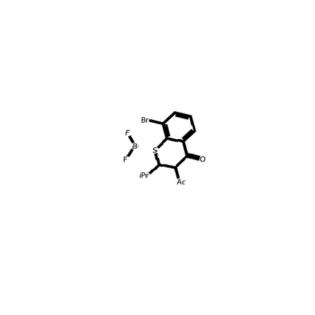 CC(=O)C1C(=O)c2cccc(Br)c2SC1C(C)C.F[B]F